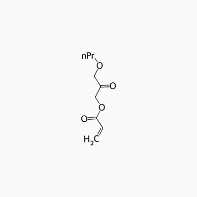 C=CC(=O)OCC(=O)COCCC